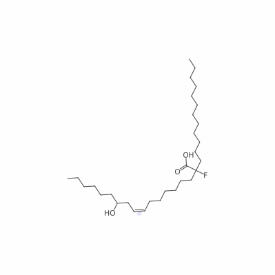 CCCCCCCCCCCCC(F)(CCCCCC/C=C\CC(O)CCCCCC)C(=O)O